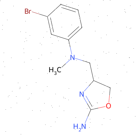 CN(CC1COC(N)=N1)c1cccc(Br)c1